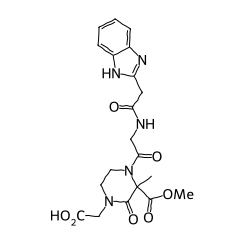 COC(=O)C1(C)C(=O)N(CC(=O)O)CCN1C(=O)CNC(=O)Cc1nc2ccccc2[nH]1